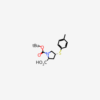 Cc1ccc(S[C@@H]2C[C@@H](C(=O)O)N(C(=O)OC(C)(C)C)C2)cc1